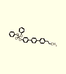 CCCc1ccc(-c2ccc(-c3ccc(OP(=O)(Oc4ccccc4)Oc4ccccc4)cc3)cc2)cc1